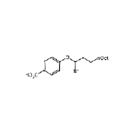 CCCCCCCCCCC(Br)Oc1ccc(C(=O)O)cc1